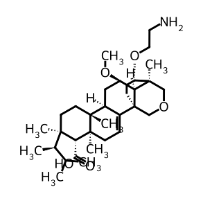 CO[C@@H]1C[C@@]23COC[C@@](C)([C@@H]2CC[C@H]2C3=CC[C@@]3(C)[C@H](C(=O)O)[C@@](C)([C@H](C)C(C)C)CC[C@]23C)[C@H]1OCCN